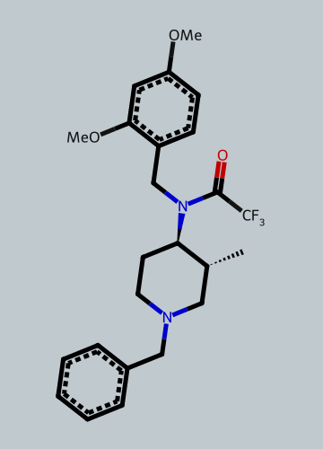 COc1ccc(CN(C(=O)C(F)(F)F)[C@@H]2CCN(Cc3ccccc3)C[C@H]2C)c(OC)c1